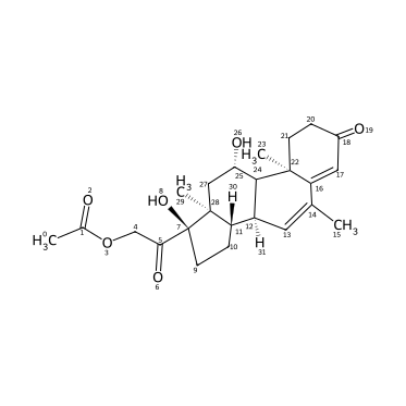 CC(=O)OCC(=O)[C@@]1(O)CC[C@H]2[C@@H]3C=C(C)C4=CC(=O)CC[C@]4(C)C3[C@@H](O)C[C@@]21C